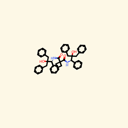 O=C(N[C@H](c1ccccc1)C(O)(Cc1ccccc1)Cc1ccccc1)C1(C(=O)N[C@H](c2ccccc2)C(O)(Cc2ccccc2)Cc2ccccc2)CCC1